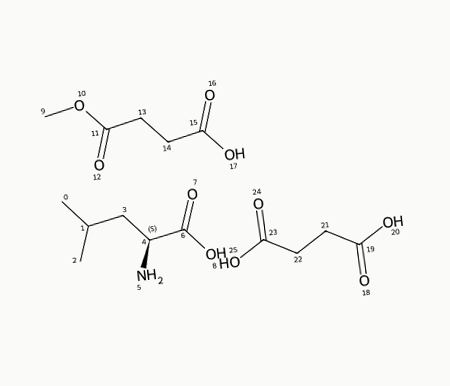 CC(C)C[C@H](N)C(=O)O.COC(=O)CCC(=O)O.O=C(O)CCC(=O)O